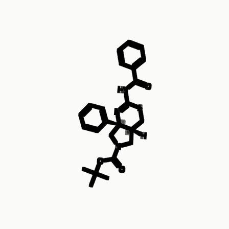 CC(C)(C)OC(=O)N1C[C@H]2CSC(NC(=O)c3ccccc3)=N[C@@]2(c2ccccc2)C1